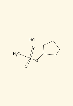 CS(=O)(=O)OC1CCCC1.Cl